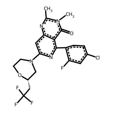 Cc1nc2cc(N3CCO[C@@H](CC(F)(F)F)C3)nc(-c3ccc(Cl)cc3F)c2c(=O)n1C